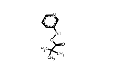 CC(C)(C)C(=O)ONc1cccnc1